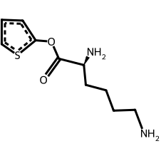 NCCCC[C@H](N)C(=O)Oc1cccs1